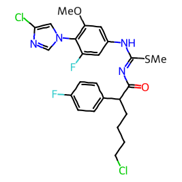 COc1cc(NC(=NC(=O)C(CCCCCl)c2ccc(F)cc2)SC)cc(F)c1-n1cnc(Cl)c1